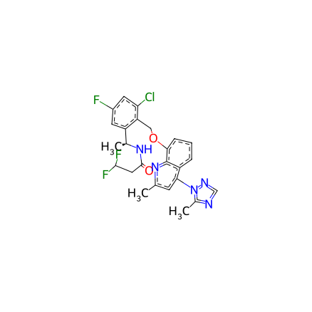 Cc1cc(-n2ncnc2C)c2cccc(OCc3c(Cl)cc(F)cc3[C@H](C)NC(=O)CC(F)F)c2n1